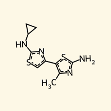 Cc1nc(N)sc1-c1csc(NC2CC2)n1